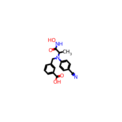 CC(C(=O)NO)N(Cc1cccc(C(=O)O)c1)c1ccc(C#N)cc1